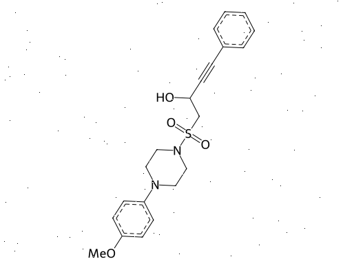 COc1ccc(N2CCN(S(=O)(=O)CC(O)C#Cc3ccccc3)CC2)cc1